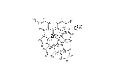 Ic1ccc([C](c2ccc(I)cc2)=[Zr+2]([C]2=CC=CC2)[CH]2c3ccccc3-c3c2c2ccccc2c2ccccc32)cc1.[Cl-].[Cl-]